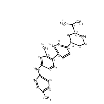 Cc1cnc(Nc2cnc(-c3ccc(N4CCN[C@H](C(C)C)C4)nn3)c(O)c2)cn1